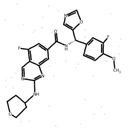 COc1ccc([C@H](NC(=O)c2cc(F)c3cnc(NC4CCOCC4)nc3c2)c2cnco2)cc1F